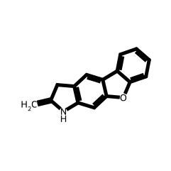 C=C1Cc2cc3c(cc2N1)oc1ccccc13